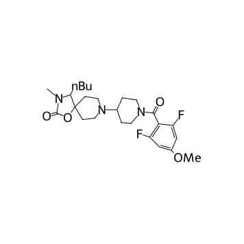 CCCCC1N(C)C(=O)OC12CCN(C1CCN(C(=O)c3c(F)cc(OC)cc3F)CC1)CC2